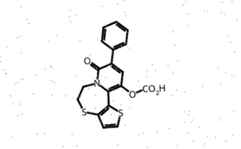 O=C(O)Oc1cc(-c2ccccc2)c(=O)n2c1-c1sccc1SCC2